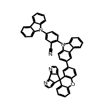 N#Cc1cc(-n2c3ccccc3c3ccccc32)ccc1-n1c2ccccc2c2cc(-c3ccc4c(c3)C3(c5ccccc5O4)c4cccnc4-c4ncccc43)ccc21